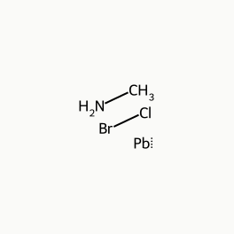 CN.ClBr.[Pb]